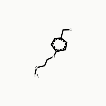 COCCOc1ccc(CCl)cc1